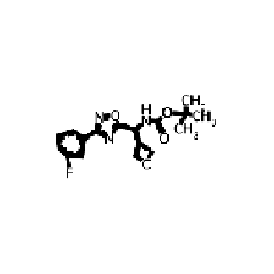 CC(C)(C)OC(=O)NC(c1nc(-c2cccc(F)c2)no1)C1COC1